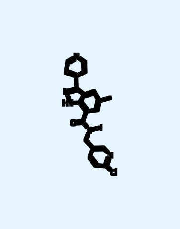 Cc1cc(C(=O)N(I)Cc2ccc(Cl)nc2)c2[nH]nc(-c3ccncc3)c2c1